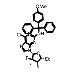 CC[C@H]1O[C@@H](n2cnc3c(Cl)nc(NC(c4ccccc4)(c4ccccc4)c4ccc(OC)cc4)nc32)[C@](C)(F)[C@@H]1C